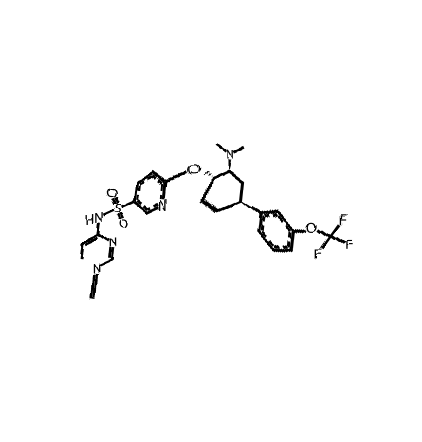 C=N/C=N\C(=C/C)NS(=O)(=O)c1ccc(O[C@H]2CC[C@H](c3cccc(OC(F)(F)F)c3)C[C@@H]2N(C)C)nc1